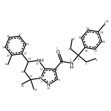 CCC(CC)(NC(=O)c1cnn2c1NC(c1ccccc1C)CC2(C)C)c1ccc(I)cc1